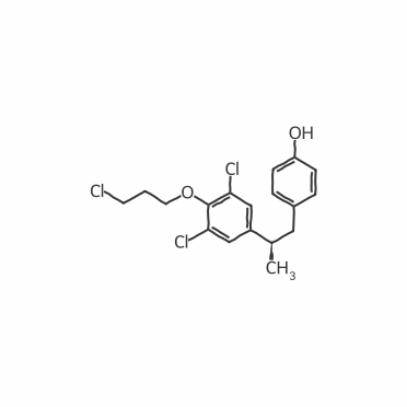 C[C@H](Cc1ccc(O)cc1)c1cc(Cl)c(OCCCCl)c(Cl)c1